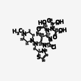 CN1CCN(N(Cc2nccs2)c2nc(Cl)nc(N(C(=O)O)N(C(=O)O)C(=O)O)c2F)CC1